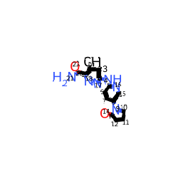 Cc1cc(Nc2ccc(N3CCCC3=O)cn2)nnc1C(N)=O